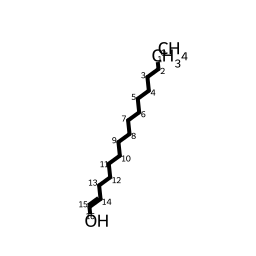 C.CCCCCCCCCCCCCC=CO